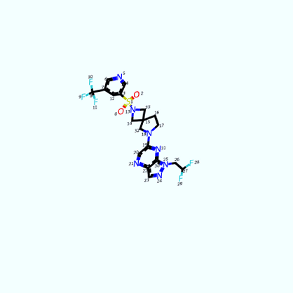 O=S(=O)(c1cncc(C(F)(F)F)c1)N1CC2(CCN(c3cnc4cnn(CC(F)F)c4n3)C2)C1